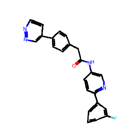 O=C(Cc1ccc(-c2ccnnc2)cc1)Nc1ccc(-c2cccc(F)c2)nc1